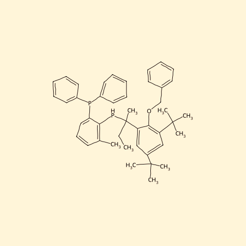 CCC(C)(Pc1c(C)cccc1P(c1ccccc1)c1ccccc1)c1cc(C(C)(C)C)cc(C(C)(C)C)c1OCc1ccccc1